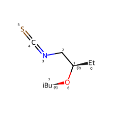 CC[C@H](CN=C=S)O[C@H](C)CC